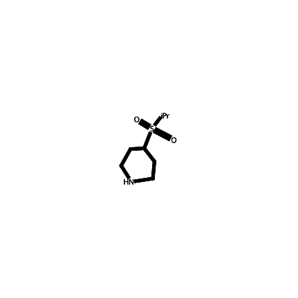 CC(C)S(=O)(=O)C1CCNCC1